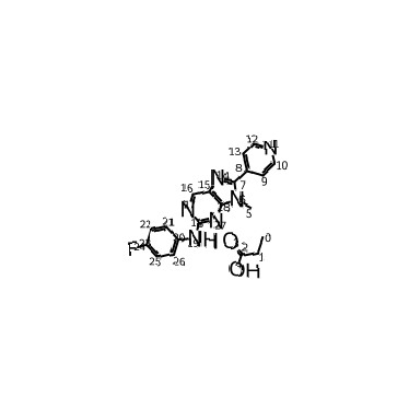 CCC(=O)O.Cn1c(-c2ccncc2)nc2cnc(Nc3ccc(F)cc3)nc21